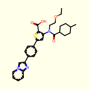 CCOCCN(C(=O)C1CCC(C)CC1)c1cc(-c2ccc(-c3cn4ccccc4n3)cc2)sc1C(=O)O